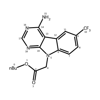 CCCCOC(=O)Cn1c2ccc(C(F)(F)F)cc2c2c(N)ncnc21